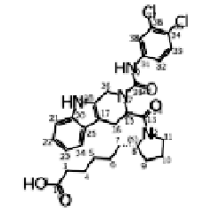 O=C(O)CCCCC[C@H]1CCCN1C(=O)[C@H]1Cc2c([nH]c3ccccc23)CN1C(=O)Nc1ccc(Cl)c(Cl)c1